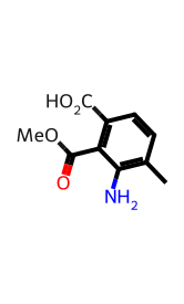 COC(=O)c1c(C(=O)O)ccc(C)c1N